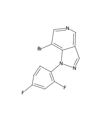 Fc1ccc(-n2ncc3cncc(Br)c32)c(F)c1